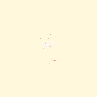 CNC(=O)OCc1nc([N+](=O)[O-])c(C#N)n1C